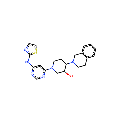 O[C@H]1CN(c2cc(Nc3nccs3)ncn2)CCC1N1CCc2ccccc2C1